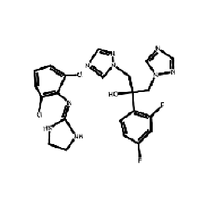 Clc1cccc(Cl)c1N=C1NCCN1.OC(Cn1cncn1)(Cn1cncn1)c1ccc(F)cc1F